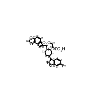 Fc1ccc2c(C3CCN(CC4=Cc5c4ccc4c5OCO4)CC3)noc2c1.O=C(O)C=CC(=O)O